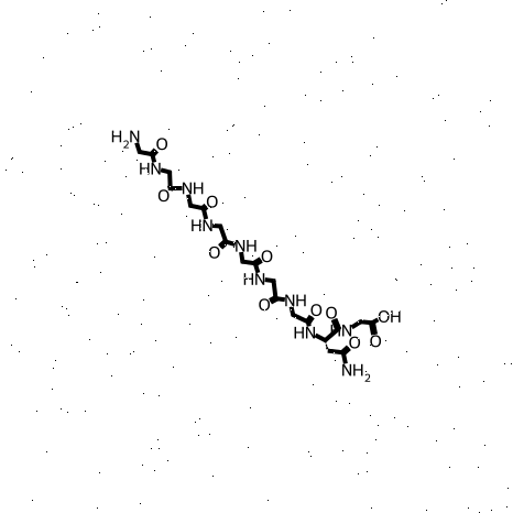 NCC(=O)NCC(=O)NCC(=O)NCC(=O)NCC(=O)NCC(=O)NCC(=O)N[C@@H](CC(N)=O)C(=O)NCC(=O)O